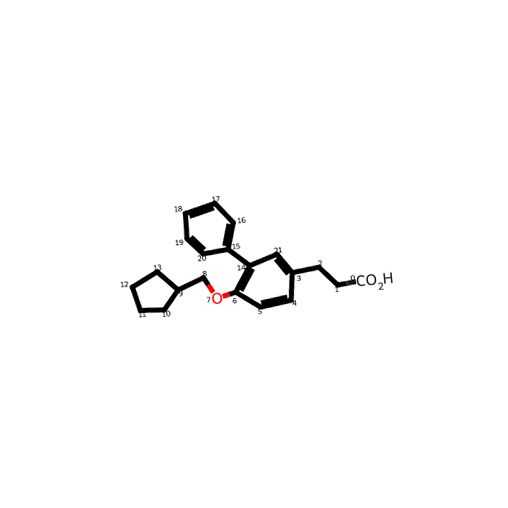 O=C(O)CCc1ccc(OCC2CCCC2)c(-c2ccccc2)c1